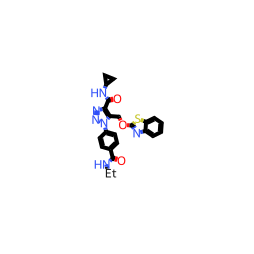 CCNC(=O)c1ccc(-n2nnc(C(=O)NC3CC3)c2COc2nc3ccccc3s2)cc1